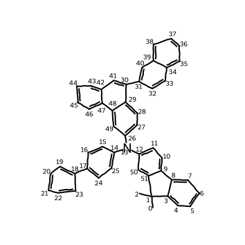 CC1(C)c2ccccc2-c2ccc(N(c3ccc(-c4ccccc4)cc3)c3ccc4c(-c5ccc6ccccc6c5)cc5ccccc5c4c3)cc21